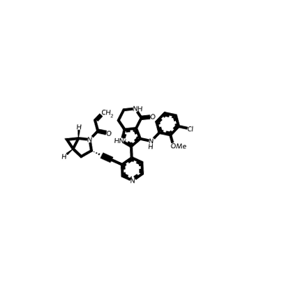 C=CC(=O)N1[C@H](C#Cc2cnccc2-c2[nH]c3c(c2Nc2cccc(Cl)c2OC)C(=O)NCC3)C[C@@H]2C[C@@H]21